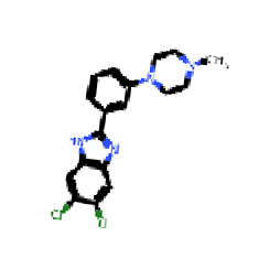 CN1CCN(c2cccc(-c3nc4cc(Cl)c(Cl)cc4[nH]3)c2)CC1